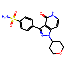 NS(=O)(=O)c1ccc(-c2nn(C3CCOCC3)c3cc[nH]c(=O)c23)cc1